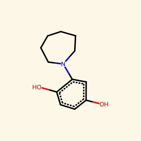 Oc1ccc(O)c(N2CCCCCC2)c1